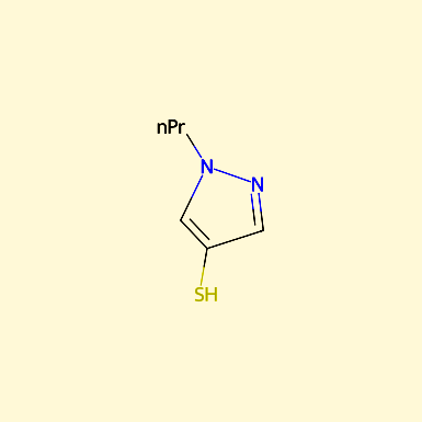 CCCn1cc(S)cn1